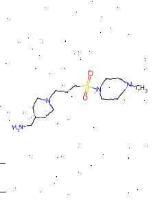 CN1CCN(S(=O)(=O)CCCN2CCC(CN)CC2)CC1